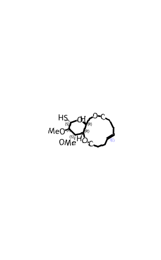 CO[C@@H]1[C@@H](OC)[C@H](S)O[C@@H]2COCCC/C=C/CCCO[C@@H]12